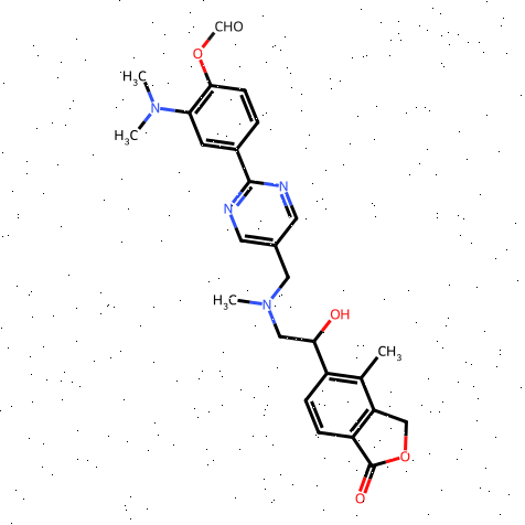 Cc1c(C(O)CN(C)Cc2cnc(-c3ccc(OC=O)c(N(C)C)c3)nc2)ccc2c1COC2=O